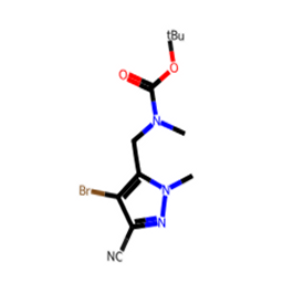 CN(Cc1c(Br)c(C#N)nn1C)C(=O)OC(C)(C)C